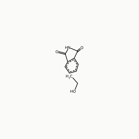 CCO.O=C1NC(=O)c2ccccc21